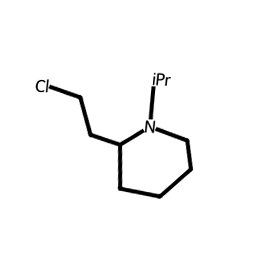 CC(C)N1CCCCC1CCCl